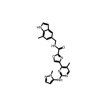 Cc1cnc(Nc2ccnn2C)nc1-c1coc(C(=O)NCc2cc(C)c3[nH]ccc3c2)n1